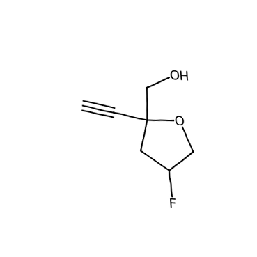 C#CC1(CO)CC(F)CO1